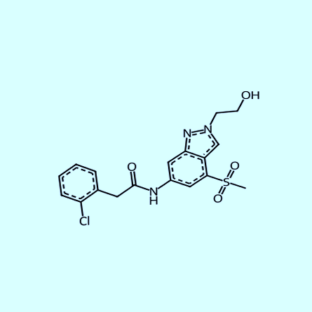 CS(=O)(=O)c1cc(NC(=O)Cc2ccccc2Cl)cc2nn(CCO)cc12